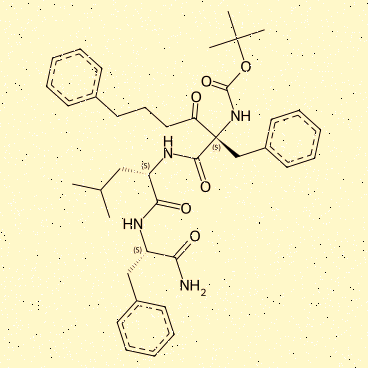 CC(C)C[C@H](NC(=O)[C@@](Cc1ccccc1)(NC(=O)OC(C)(C)C)C(=O)CCCc1ccccc1)C(=O)N[C@@H](Cc1ccccc1)C(N)=O